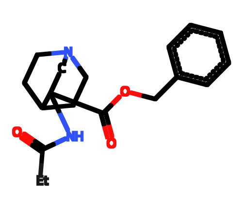 CCC(=O)NC1(C(=O)OCc2ccccc2)CN2CCC1CC2